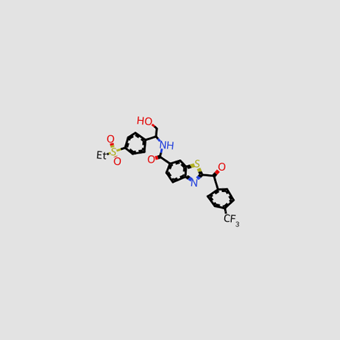 CCS(=O)(=O)c1ccc(C(CO)NC(=O)c2ccc3nc(C(=O)c4ccc(C(F)(F)F)cc4)sc3c2)cc1